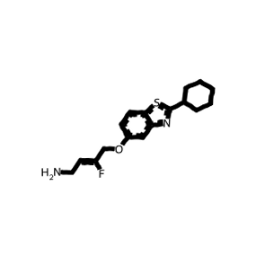 NCC=C(F)COc1ccc2sc(C3CCCCC3)nc2c1